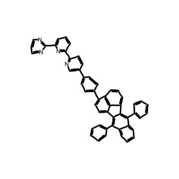 c1ccc(-c2c3c(c(-c4ccccc4)c4ccccc24)-c2ccc(-c4ccc(-c5ccc(-c6cccc(-c7ncccn7)n6)nc5)cc4)c4cccc-3c24)cc1